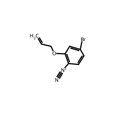 C=CCOc1cc(Br)ccc1[N+]#N